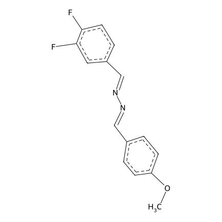 COc1ccc(C=NN=Cc2ccc(F)c(F)c2)cc1